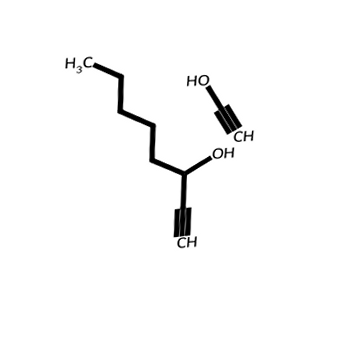 C#CC(O)CCCCC.C#CO